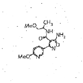 COCC(C)NC(=O)c1c(-c2ccc(OC)nc2)noc1N